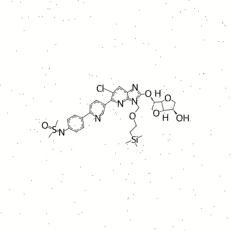 C[Si](C)(C)CCOCn1c(O[C@@H]2CO[C@H]3[C@@H]2OC[C@H]3O)nc2cc(Cl)c(-c3ccc(-c4ccc(N=S(C)(C)=O)cc4)nc3)nc21